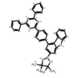 CC1(C)OB(c2cc(-c3ccc(-c4nc(-c5ccccc5)nc(-c5ccccc5)n4)cc3)c3c(c2)oc2ccccc23)OC1(C)C